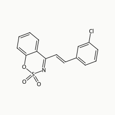 O=S1(=O)N=C(C=Cc2cccc(Cl)c2)c2ccccc2O1